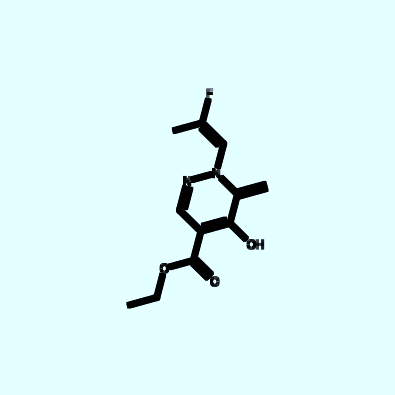 C=C1C(O)=C(C(=O)OCC)C=NN1/C=C(\C)F